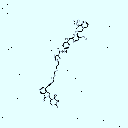 CN(c1ncccc1CNc1nc(Nc2ccc(NC(=O)c3cn(CCOCCOCC#Cc4cccc5c4CN(C4CCC(=O)NC4=O)C5=O)nn3)cc2)ncc1C(F)(F)F)S(C)(=O)=O